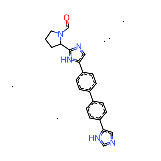 O=CN1CCCC1c1ncc(-c2ccc(-c3ccc(-c4cnc[nH]4)cc3)cc2)[nH]1